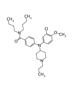 CCCCN(CCCC)C(=O)c1ccc(N(c2ccc(OC)c(Cl)c2)C2CCN(CCC)CC2)cc1